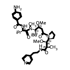 CC[C@H](C)[C@@H]([C@H](CC(=O)N1CCC[C@H]1[C@H](OC)[C@@H](C)C(=O)NCCc1ccncc1)OC)N(C)C(=O)[C@@H](NC(=O)c1ccc(N)cc1)C(C)C